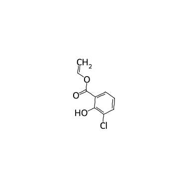 C=COC(=O)c1cccc(Cl)c1O